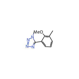 COc1c(C)cccc1-c1nnnn1C